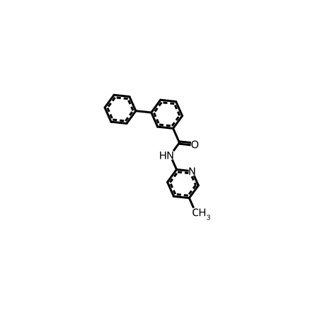 Cc1ccc(NC(=O)c2cccc(-c3ccccc3)c2)nc1